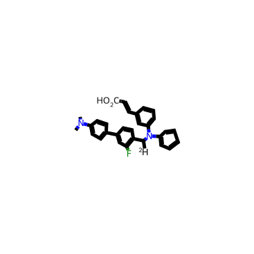 [2H]C(c1ccc(-c2ccc(N(C)C)cc2)cc1F)N(c1ccccc1)c1cccc(/C=C/C(=O)O)c1